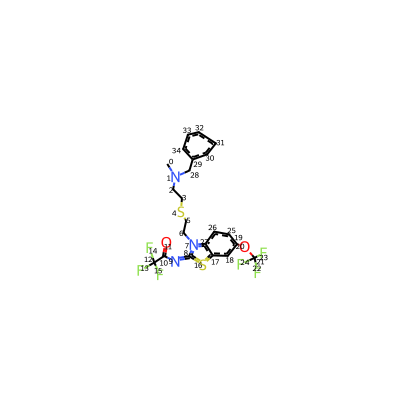 CN(CCSCCn1c(=NC(=O)C(F)(F)F)sc2cc(OC(F)(F)F)ccc21)Cc1ccccc1